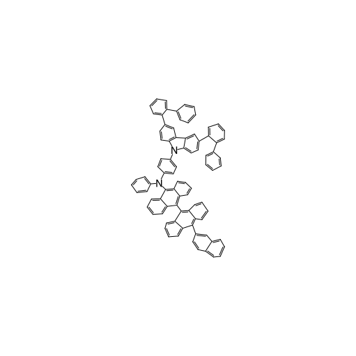 c1ccc(-c2ccccc2-c2ccc3c(c2)c2cc(-c4ccccc4-c4ccccc4)ccc2n3-c2ccc(N(c3ccccc3)c3c4ccccc4c(-c4c5ccccc5c(-c5ccc6ccccc6c5)c5ccccc45)c4ccccc34)cc2)cc1